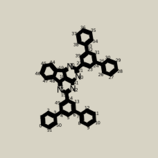 c1ccc(-c2cc(-c3ccccc3)cc(-c3nc4c5c(nc(-c6cc(-c7ccccc7)cc(-c7ccccc7)c6)nc5n3)-c3ccccc3-4)c2)cc1